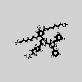 CCCCCCCCc1cc(-c2cc(-c3cc4sc(C)cc4s3)nc(-c3nc(-c4ccccc4)nc(-c4ccccc4)n3)n2)c(CCCCCCCC)cc1C